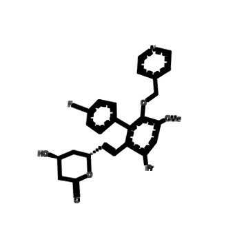 COc1cc(C(C)C)c(C=C[C@H]2C[C@H](O)CC(=O)O2)c(-c2ccc(F)cc2)c1OCc1ccncc1